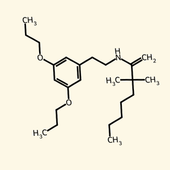 C=C(NCCc1cc(OCCC)cc(OCCC)c1)C(C)(C)CCCCC